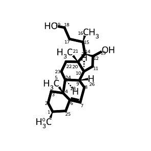 C[C@H]1CC[C@@]2(C)C(=CC[C@H]3[C@@H]4CC(O)[C@H]([C@H](C)CCO)[C@@]4(C)CC[C@@H]32)C1